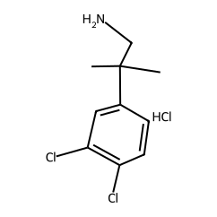 CC(C)(CN)c1ccc(Cl)c(Cl)c1.Cl